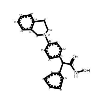 O=C(NO)C(c1ccccc1)c1ccc(N2CCc3ccccc3C2)cc1